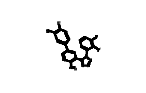 Nc1ncc(-c2ccc(F)c(Cl)c2)cc1-c1nnnn1-c1cccc(F)c1F